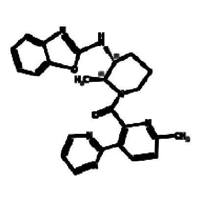 Cc1ccc(-c2ncccn2)c(C(=O)N2CCC[C@@H](Nc3nc4ccccc4o3)[C@@H]2C)n1